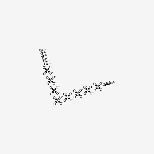 O=P([O-])([O-])[O-].O=P([O-])([O-])[O-].O=P([O-])([O-])[O-].O=P([O-])([O-])[O-].O=P([O-])([O-])[O-].O=P([O-])([O-])[O-].O=P([O-])([O-])[O-].O=P([O-])([O-])[O-].[Ba+2].[Ba+2].[Ba+2].[Ca+2].[Ca+2].[Ca+2].[Zr+4].[Zr+4].[Zr+4]